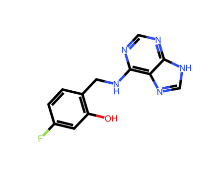 Oc1cc(F)ccc1CNc1ncnc2[nH]cnc12